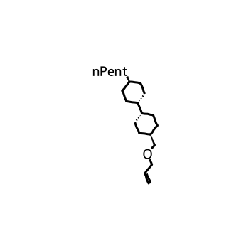 C=CCOC[C@H]1CC[C@H]([C@H]2CC[C@H](CCCCC)CC2)CC1